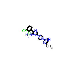 Cc1c[nH]c(N2CCN(c3cnc(-c4cccc(Cl)c4Cl)c(N)n3)CC2)n1